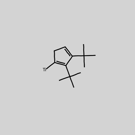 CC(C)(C)C1=CC[C]([Ti])=C1C(C)(C)C